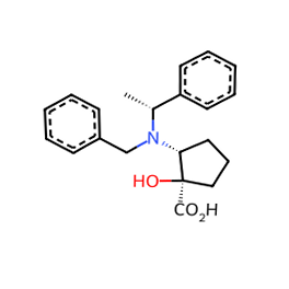 C[C@H](c1ccccc1)N(Cc1ccccc1)[C@@H]1CCC[C@]1(O)C(=O)O